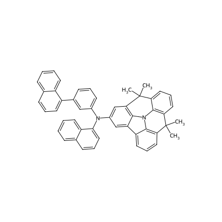 CC1(C)c2cccc3c2-n2c4c1cccc4c1cc(N(c4cccc(-c5cccc6ccccc56)c4)c4cccc5ccccc45)cc(c12)C3(C)C